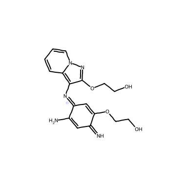 N=C1C=C(N)/C(=N/c2c(OCCO)nn3ccccc23)C=C1OCCO